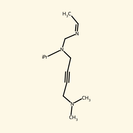 C/C=N\CN(CC#CCN(C)C)C(C)C